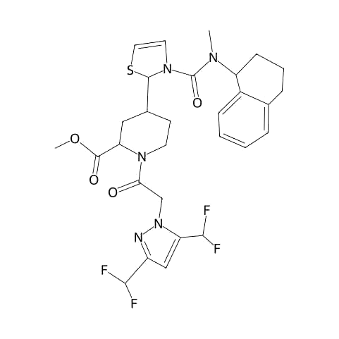 COC(=O)C1CC(C2SC=CN2C(=O)N(C)C2CCCc3ccccc32)CCN1C(=O)Cn1nc(C(F)F)cc1C(F)F